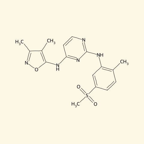 Cc1ccc(S(C)(=O)=O)cc1Nc1nccc(Nc2onc(C)c2C)n1